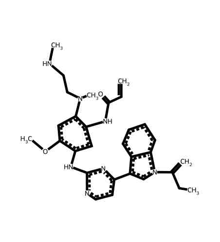 C=CC(=O)Nc1cc(Nc2nccc(-c3cn(C(=C)CC)c4ccccc34)n2)c(OC)cc1N(C)CCNC